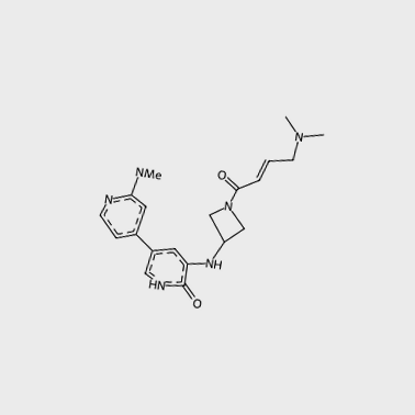 CNc1cc(-c2c[nH]c(=O)c(NC3CN(C(=O)C=CCN(C)C)C3)c2)ccn1